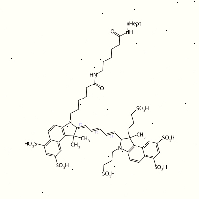 CCCCCCCNC(=O)CCCCCNC(=O)CCCCCN1/C(=C/C=C/C=C/C2N(CCCS(=O)(=O)O)c3ccc4c(S(=O)(=O)O)cc(S(=O)(=O)O)cc4c3C2(C)CCCS(=O)(=O)O)C(C)(C)c2c1ccc1c(S(=O)(=O)O)cc(S(=O)(=O)O)cc21